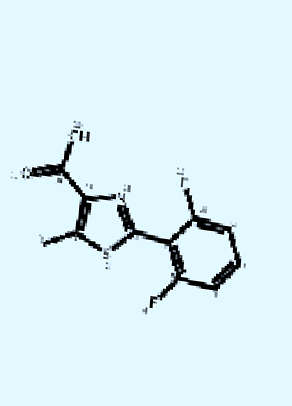 Cc1sc(-c2c(F)cccc2F)nc1C(=O)O